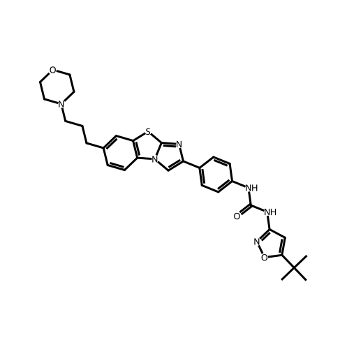 CC(C)(C)c1cc(NC(=O)Nc2ccc(-c3cn4c(n3)sc3cc(CCCN5CCOCC5)ccc34)cc2)no1